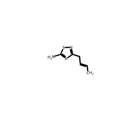 CC=CCc1nsc(N)n1